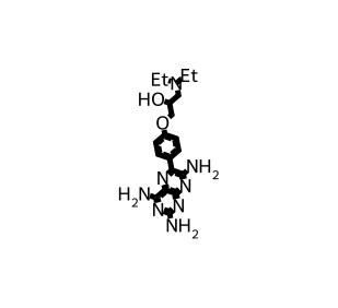 CCN(CC)CC(O)COc1ccc(-c2nc3c(N)nc(N)nc3nc2N)cc1